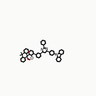 CC1(C)c2ccccc2C2(c3ccccc3Oc3c(-c4cccc(-c5cc(-c6ccc(-n7c8ccccc8c8ccccc87)cc6)nc(-c6ccccc6)n5)c4)cccc32)c2ccccc21